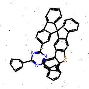 c1ccc(-c2nc(-c3ccccc3)nc(-c3ccc4c(c3)C3(c5ccccc5-4)c4ccccc4-c4cc5sc6ccccc6c5cc43)n2)cc1